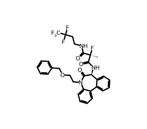 C[C@@](F)(C(=O)NCCC(F)(F)C(F)(F)F)C(=O)N[C@@H]1C(=O)N(CCOCc2ccccc2)c2ccccc2-c2ccccc21